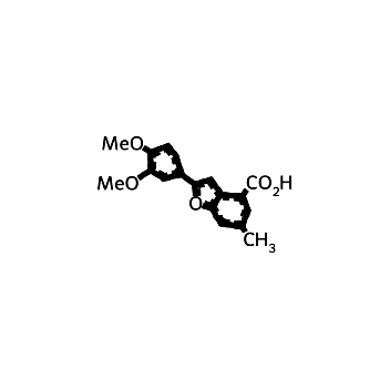 COc1ccc(-c2cc3c(C(=O)O)cc(C)cc3o2)cc1OC